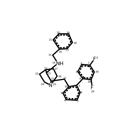 Fc1ccc(-c2ccccc2CC2C(NCc3ccccc3)C3CCN2CC3)c(F)c1